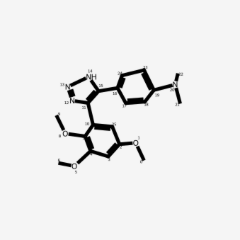 COc1cc(OC)c(OC)c(-c2nn[nH]c2-c2ccc(N(C)C)cc2)c1